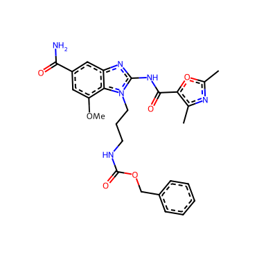 COc1cc(C(N)=O)cc2nc(NC(=O)c3oc(C)nc3C)n(CCCNC(=O)OCc3ccccc3)c12